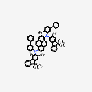 CC(C)c1ccc(-c2ccccc2)cc1N(c1cc2c(cc1C(C)C)C(C)(C)c1ccccc1-2)c1ccc2ccc3c(N(c4cc(-c5ccccc5)ccc4C(C)C)c4cc5c(cc4C(C)C)C(C)(C)c4ccccc4-5)ccc4ccc1c2c43